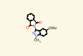 COc1ccc2c(c1)c(N1C(=O)c3ccccc3C1=O)nn2C